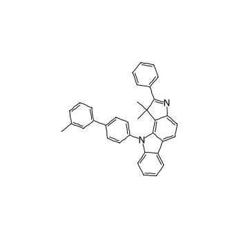 Cc1cccc(-c2ccc(-n3c4ccccc4c4ccc5c(c43)C(C)(C)C(c3ccccc3)=N5)cc2)c1